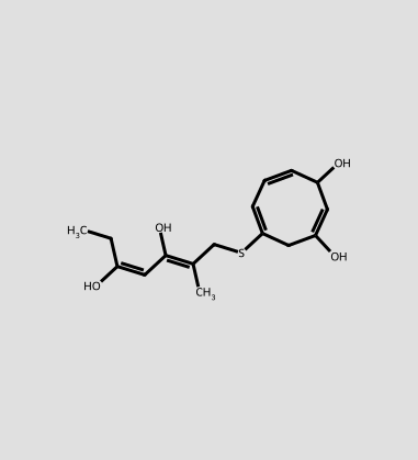 CC/C(O)=C\C(O)=C(/C)CS/C1=C/C=C\C(O)/C=C(/O)C1